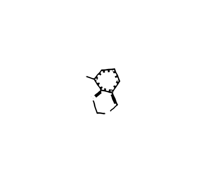 Oc1cccc2c1=NCOC=2